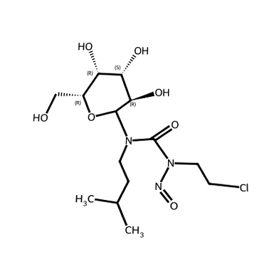 CC(C)CCN(C(=O)N(CCCl)N=O)C1O[C@H](CO)[C@H](O)[C@H](O)[C@H]1O